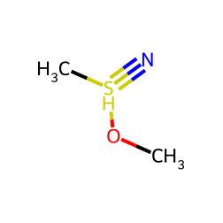 CO[SH](C)#N